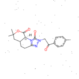 Cc1ccc(C(=O)Cn2nc3n(c2=O)[C@@H]2C(=O)OC(C)(C)CC2CC3)cc1